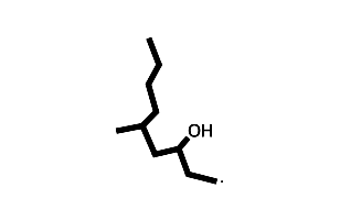 [CH2]CC(O)CC(C)CCCC